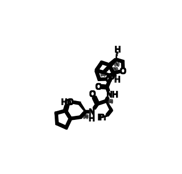 CC(C)C[C@H](NC(=O)O[C@H]1C2CO[C@H]3OC[C@@H]1C3C2)C(=O)N[C@H](CO)CC1CCCC1=O